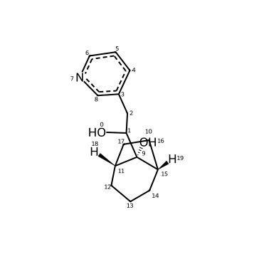 OC(Cc1cccnc1)[C@]1(O)[C@@H]2CCC[C@H]1CC2